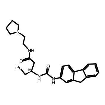 CC(C)C[C@@H](CC(=O)NCCN1CCCC1)NC(=O)Nc1ccc2c(c1)Cc1ccccc1-2